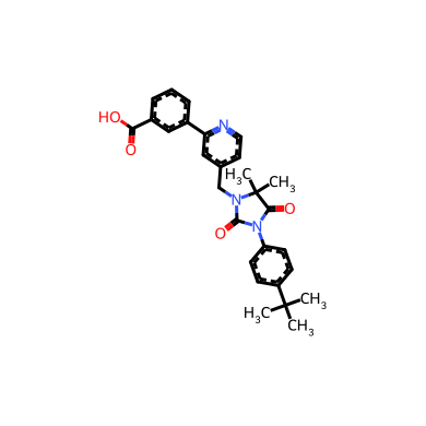 CC(C)(C)c1ccc(N2C(=O)N(Cc3ccnc(-c4cccc(C(=O)O)c4)c3)C(C)(C)C2=O)cc1